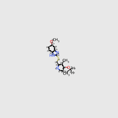 [2H]C([2H])([2H])Oc1c(C)cnc(CSc2nc3cc(OC)ccc3[nH]2)c1C